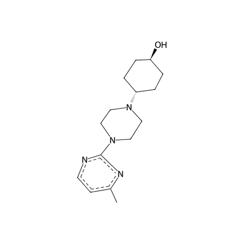 Cc1ccnc(N2CCN([C@H]3CC[C@H](O)CC3)CC2)n1